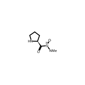 CN[SiH]([O])C(=O)[C@@H]1CCCN1